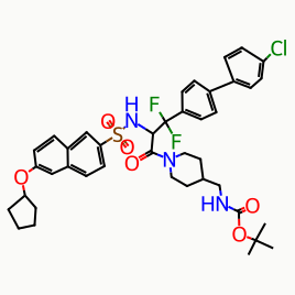 CC(C)(C)OC(=O)NCC1CCN(C(=O)C(NS(=O)(=O)c2ccc3cc(OC4CCCC4)ccc3c2)C(F)(F)c2ccc(-c3ccc(Cl)cc3)cc2)CC1